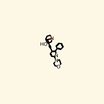 OC1(C#Cc2ccc(N3CCOCC3)nc2-c2ccccc2)CN2CCC1CC2